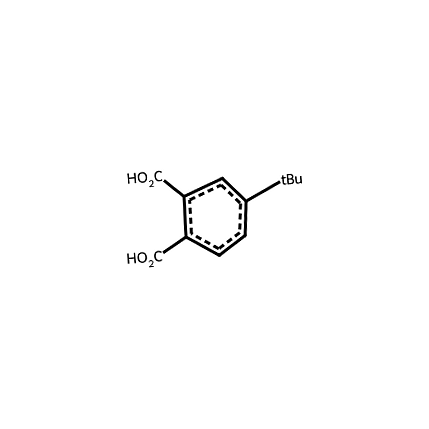 CC(C)(C)c1ccc(C(=O)O)c(C(=O)O)c1